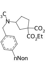 CCCCCCCCCc1ccc(CN(C)C2CCC(C(=O)O)(C(=O)OCC)C2)cc1